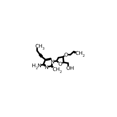 C=CCOC1CC(N2C=C(C#CCC)C(N)=NC2=C)OC1CO